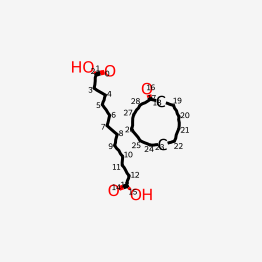 O=C(O)CCCCCCCCCCC(=O)O.O=C1CCCCCCCCCCC1